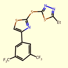 CCc1nnc(Sc2nc(-c3cc(C(F)(F)F)cc(C(F)(F)F)c3)cs2)s1